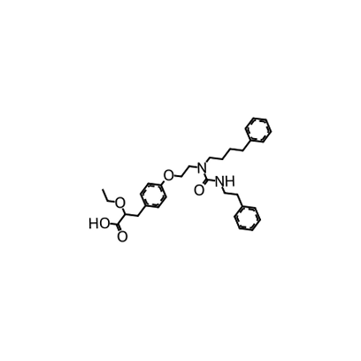 CCOC(Cc1ccc(OCCN(CCCCc2ccccc2)C(=O)NCCc2ccccc2)cc1)C(=O)O